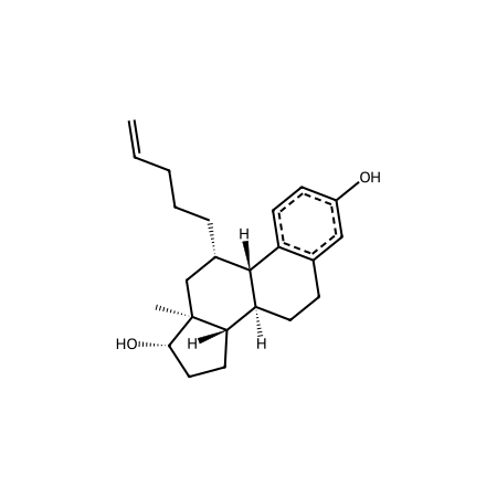 C=CCCC[C@H]1C[C@]2(C)[C@@H](O)CC[C@H]2[C@@H]2CCc3cc(O)ccc3[C@@H]12